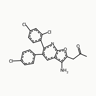 CC(=O)Cc1oc2nc(-c3ccc(Cl)cc3Cl)c(-c3ccc(Cl)cc3)cc2c1N